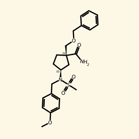 COc1ccc(CN([C@H]2CC[C@](COCc3ccccc3)(C(N)=O)C2)S(C)(=O)=O)cc1